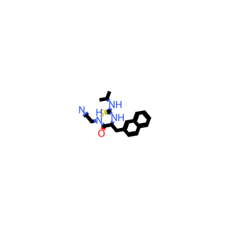 CC(C)NC(=S)NC(Cc1ccc2ccccc2c1)C(=O)NCC#N